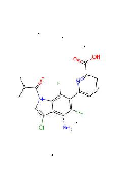 CC(C)C(=O)n1cc(Cl)c2c(N)c(F)c(-c3cccc(C(=O)O)n3)c(F)c21